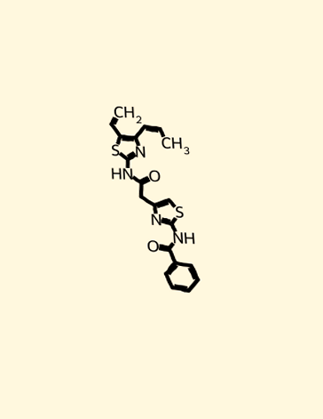 C=Cc1sc(NC(=O)Cc2csc(NC(=O)c3ccccc3)n2)nc1/C=C\C